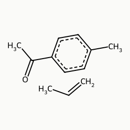 C=CC.CC(=O)c1ccc(C)cc1